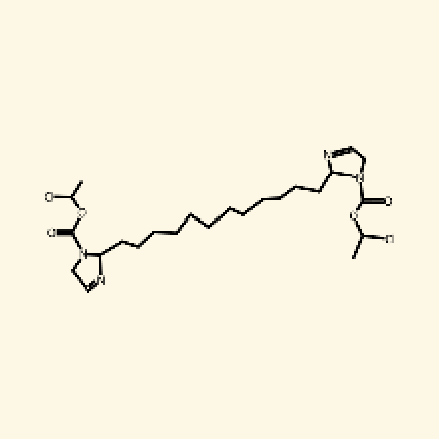 CC(Cl)OC(=O)N1CC=NC1CCCCCCCCCCCCC1N=CCN1C(=O)OC(C)Cl